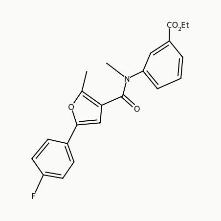 CCOC(=O)c1cccc(N(C)C(=O)c2cc(-c3ccc(F)cc3)oc2C)c1